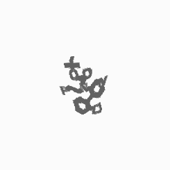 CC(C)(C)OC(=O)N(CCF)c1cnccc1-c1ccccc1Cl